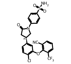 N#Cc1cccc(C(F)(F)F)c1Oc1cc([C@H]2CC(=O)N(c3ccc(S(N)(=O)=O)cc3)C2)ccc1Cl